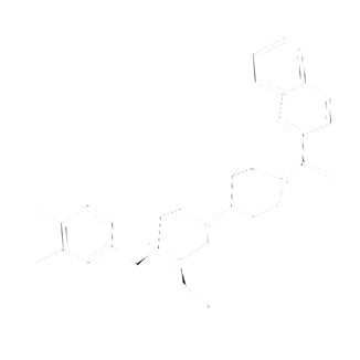 O=C(c1ccc2ncccc2c1)N1CCC(N2CC[C@H](Cc3ccc(O)c(Cl)c3)[C@H](CO)C2)CC1